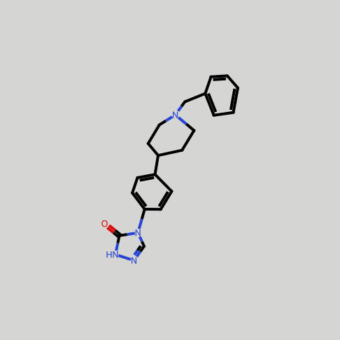 O=c1[nH]ncn1-c1ccc(C2CCN(Cc3ccccc3)CC2)cc1